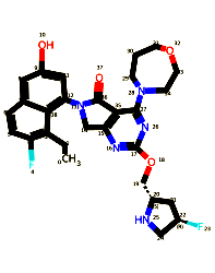 CCc1c(F)ccc2cc(O)cc(N3Cc4nc(OC[C@@H]5C[C@@H](F)CN5)nc(N5CCCOCC5)c4C3=O)c12